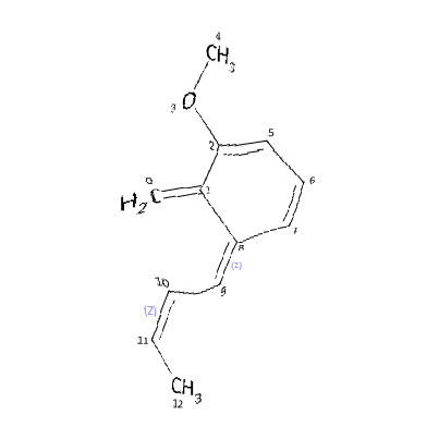 C=c1c(OC)ccc/c1=C/C=C\C